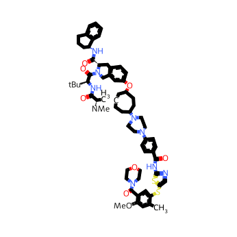 CN[C@@H](C)C(=O)N[C@H](C(=O)N1Cc2cc(OC3CCCCC(N4CCN(c5ccc(C(=O)Nc6ncc(Sc7cc(C(=O)N8CCOCC8)c(OC)cc7C)s6)cc5)CC4)CC3)ccc2C[C@H]1C(=O)N[C@@H]1CCCc2ccccc21)C(C)(C)C